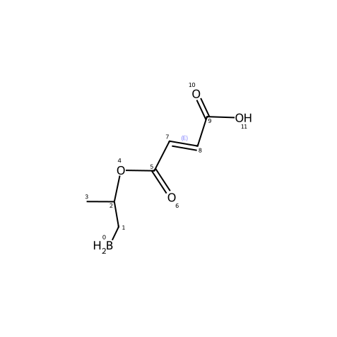 BCC(C)OC(=O)/C=C/C(=O)O